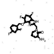 Nc1cccn(Cc2nc3c(OCc4ccc(F)cc4F)c(F)cc(F)c3[nH]2)c1=O